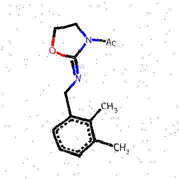 CC(=O)N1CCO/C1=N\Cc1cccc(C)c1C